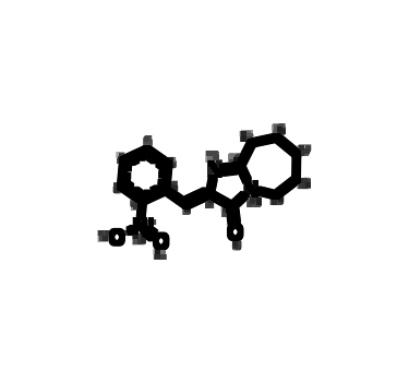 O=C1/C(=C/c2ccccc2[N+](=O)[O-])N=C2CCCCCN12